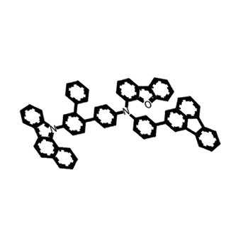 c1ccc(-c2cc(-n3c4ccccc4c4ccc5ccccc5c43)ccc2-c2ccc(N(c3cccc(-c4cc5c6c(cccc6c4)-c4ccccc4-5)c3)c3cccc4c3oc3ccccc34)cc2)cc1